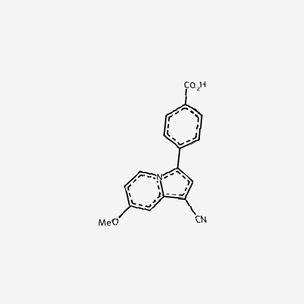 COc1ccn2c(-c3ccc(C(=O)O)cc3)cc(C#N)c2c1